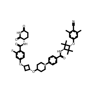 Cc1cc(O[C@H]2C(C)(C)[C@H](NC(=O)c3ccc(N4CCC(O[C@H]5C[C@H](Oc6ccc(C(=O)N[C@H]7CCC(=O)NC7=O)c(F)c6)C5)CC4)cc3)C2(C)C)cc(C)c1C#N